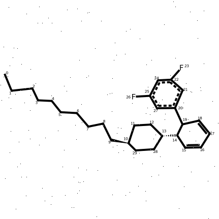 CCCCCCCCCC[C@H]1CC[C@H](C2C=CC=CC2c2cc(F)cc(F)c2)CC1